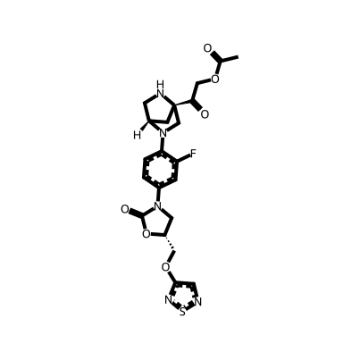 CC(=O)OCC(=O)[C@@]12C[C@@H](CN1)N(c1ccc(N3C[C@H](COc4cnsn4)OC3=O)cc1F)C2